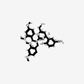 COc1ccc(CN(Cc2ccc(OC)cc2OC)C2=N[C@](C)(c3cc(N)ccc3F)C=C(CF)O2)c(OC)c1